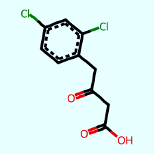 O=C(O)CC(=O)Cc1ccc(Cl)cc1Cl